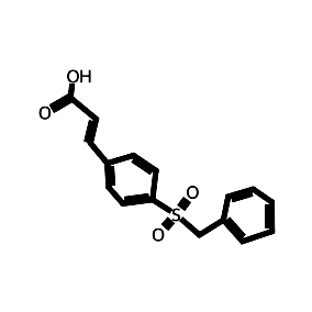 O=C(O)C=Cc1ccc(S(=O)(=O)Cc2ccccc2)cc1